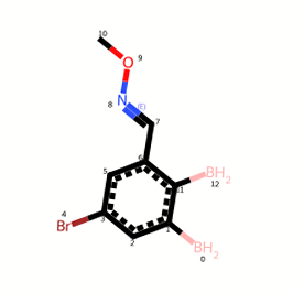 Bc1cc(Br)cc(/C=N/OC)c1B